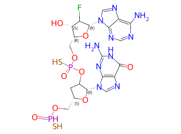 Nc1nc2c(ncn2[C@@H]2O[C@H](CO[PH](=O)S)CC2OP(=O)(S)OC[C@H]2O[C@@H](n3cnc4c(N)ncnc43)C(F)[C@H]2O)c(=O)[nH]1